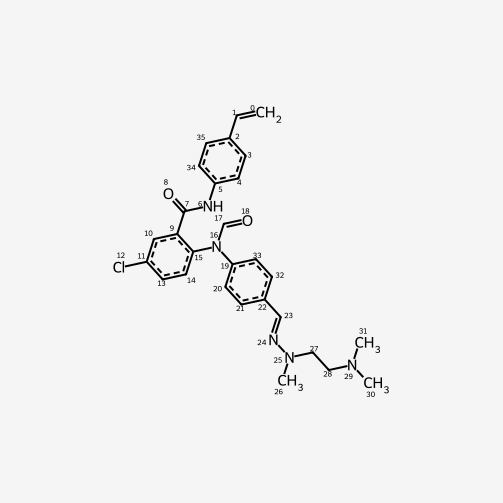 C=Cc1ccc(NC(=O)c2cc(Cl)ccc2N(C=O)c2ccc(C=NN(C)CCN(C)C)cc2)cc1